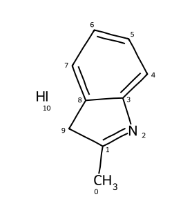 CC1=Nc2ccccc2C1.I